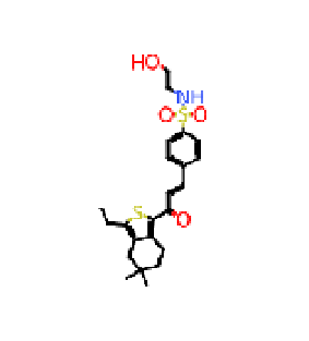 CCc1sc(C(=O)/C=C/c2ccc(S(=O)(=O)NCCO)cc2)c2c1CC(C)(C)CC2